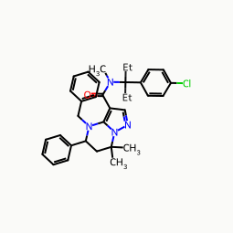 CCC(CC)(c1ccc(Cl)cc1)N(C)C(=O)c1cnn2c1N(Cc1ccccc1)C(c1ccccc1)CC2(C)C